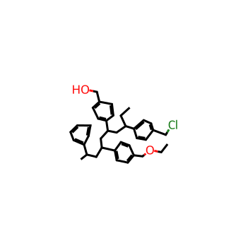 CCOCc1ccc(C(CC(C)c2ccccc2)CC(CC(CC)c2ccc(CCl)cc2)c2ccc(CO)cc2)cc1